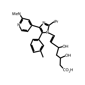 CNc1cc(-c2nc(C(C)C)n(/C=C/C(O)CC(O)CC(=O)O)c2-c2cccc(C)c2)ccn1